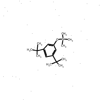 CC(C)(C)c1cc(O[Si](C)(C)C)cc(C(C)(C)C)c1